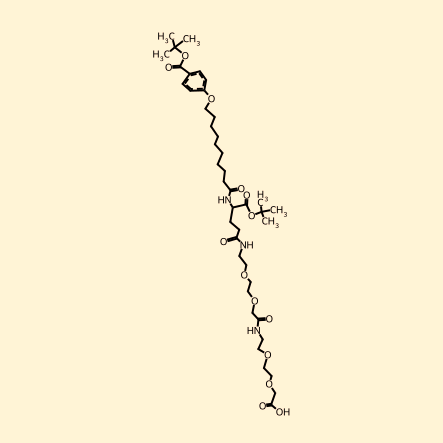 CC(C)(C)OC(=O)c1ccc(OCCCCCCCCCC(=O)NC(CCC(=O)NCCOCCOCC(=O)NCCOCCOCC(=O)O)C(=O)OC(C)(C)C)cc1